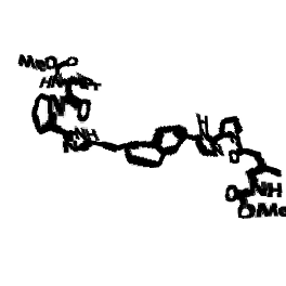 COC(=O)NCC(C)CC(=O)N1CCCC1c1ncc(-c2ccc3cc(C#Cc4cnc(C5CCCN5C(=O)C(NC(=O)OC)C(C)C)[nH]4)ccc3c2)[nH]1